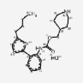 CCCCc1csc(-c2ccccc2NC(=O)OCC2CCNCC2)n1.Cl